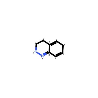 C1=CC2=N[N]CCC2=CC1